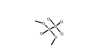 CO[Si](Cl)(OC)[Si](Cl)(Cl)Cl